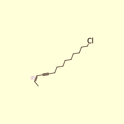 C/C=C\C#CCCCCCCCCCCl